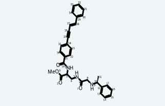 COC(=O)C(CNC(=O)CN[C@@H](C)c1ccccc1)NC(=O)c1ccc(C#CC=Cc2ccccc2)cc1